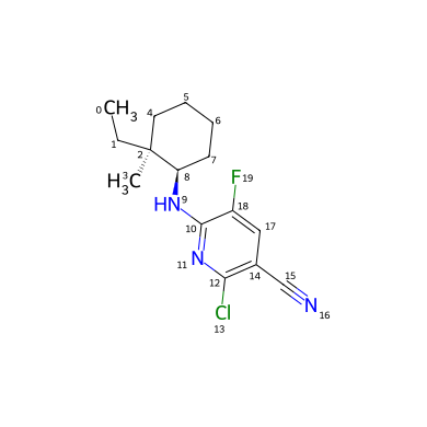 CC[C@@]1(C)CCCC[C@H]1Nc1nc(Cl)c(C#N)cc1F